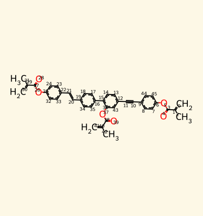 C=C(C)C(=O)Oc1ccc(C#Cc2ccc(-c3ccc(/C=C/c4ccc(OC(=O)C(=C)C)cc4)cc3)c(OC(=O)C(=C)C)c2)cc1